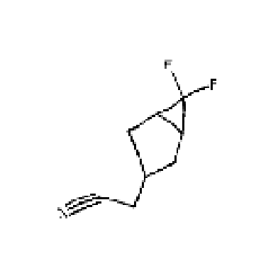 N#CCC1CC2C(C1)C2(F)F